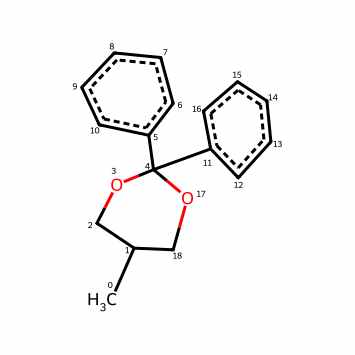 CC1COC(c2ccccc2)(c2ccccc2)OC1